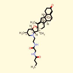 CCCC(=O)NCC(=O)NCCN1C[C@@H](C)C[C@H]2O[C@]3(CC[C@@H]4C(=C3C)C[C@H]3[C@H]4CCC4=CC(=O)CC[C@@]43C)[C@H](C)[C@@H]21